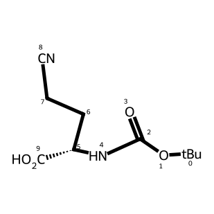 CC(C)(C)OC(=O)N[C@@H](CCC#N)C(=O)O